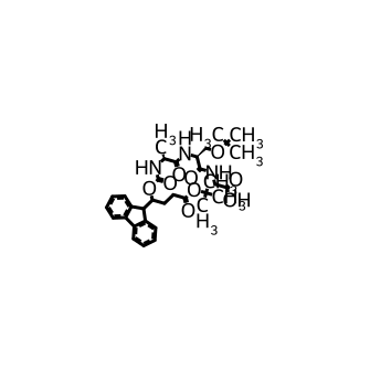 C[C@H](NC(=O)OC(CCC(=O)OC(C)(C)C)C1c2ccccc2-c2ccccc21)C(=O)N[C@@H](COC(C)(C)C)C(=O)NCC(=O)O